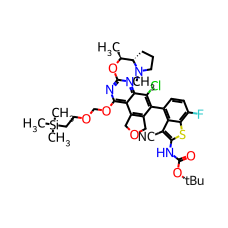 C[C@H](Oc1nc(OCOCC[Si](C)(C)C)c2c3c(c(-c4ccc(F)c5sc(NC(=O)OC(C)(C)C)c(C#N)c45)c(Cl)c2n1)COC3)[C@@H]1CCCN1C